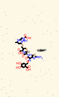 CC1=NC2=CN(C(=O)O)NN2C(SCC2=C(C(=O)O)N3C(=O)[C@@H](NC(=O)/C(=N\OCc4cc(O)c(O)cc4C(=O)O)c4csc(N)n4)[C@H]3SC2)=C1.[NaH].[NaH].[NaH]